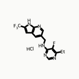 CCc1ncnc(NCc2cnc3[nH]c(C(F)(F)F)cc3c2)c1F.Cl